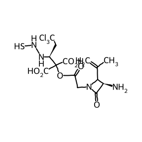 C=C(C)C1[C@@H](N)C(=O)N1CC(=O)OC(C(=O)O)(C(=O)O)[C@H](CC(Cl)(Cl)Cl)NNS